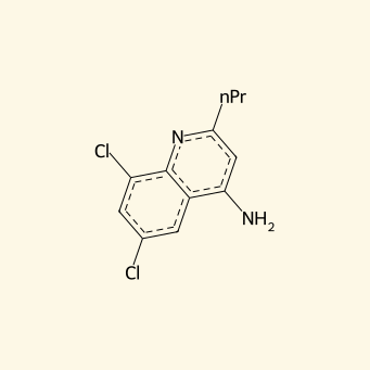 CCCc1cc(N)c2cc(Cl)cc(Cl)c2n1